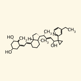 C=C1/C(=C\C=C2/CCC[C@]3(C)[C@@H]([C@H](C)/C=C/[C@H](O)C4(c5cc(CC)ccn5)CC4)CC[C@@H]23)C[C@@H](O)C[C@@H]1O